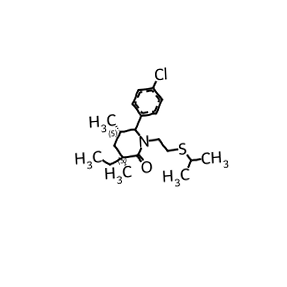 CC[C@@]1(C)C[C@H](C)C(c2ccc(Cl)cc2)N(CCSC(C)C)C1=O